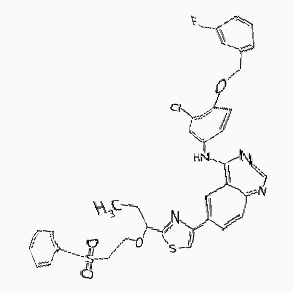 CCC(OCCS(=O)(=O)c1ccccc1)c1nc(-c2ccc3ncnc(Nc4ccc(OCc5cccc(F)c5)c(Cl)c4)c3c2)cs1